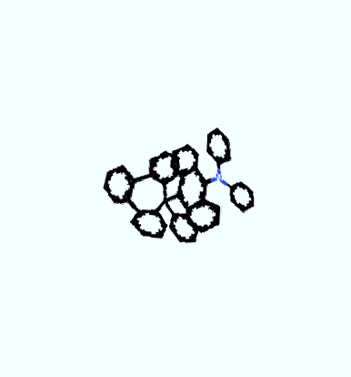 c1ccc(N(c2ccccc2)c2c3ccccc3c(C3(c4ccccc4)c4ccccc4-c4ccccc4-c4ccccc43)c3ccccc23)cc1